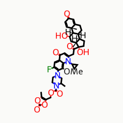 COc1c(N2CCN(C(=O)OCc3oc(=O)oc3C)C(C)C2)c(F)cc2c(=O)cc(CC(=O)[C@]3(O)CC[C@@H]4[C@H]5CCC6=CC(=O)C=C[C@@]6(C)[C@@H]5[C@H](O)C[C@]43C)n(C3CC3)c12